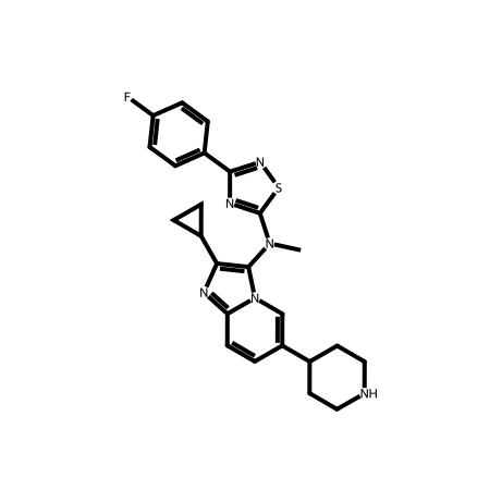 CN(c1nc(-c2ccc(F)cc2)ns1)c1c(C2CC2)nc2ccc(C3CCNCC3)cn12